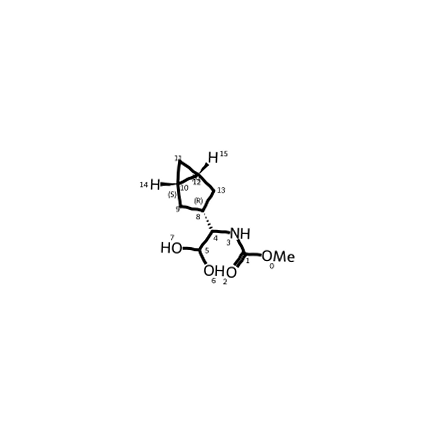 COC(=O)NC(C(O)O)[C@@H]1C[C@@H]2C[C@@H]2C1